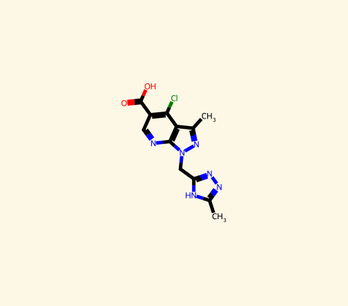 Cc1nnc(Cn2nc(C)c3c(Cl)c(C(=O)O)cnc32)[nH]1